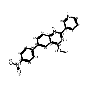 COc1nc(-c2cccnc2)nc2ccc(-c3ccc([N+](=O)[O-])cc3)cc12